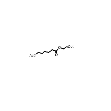 CCCCCCCCCOC(=O)CCCCCOC(C)=O